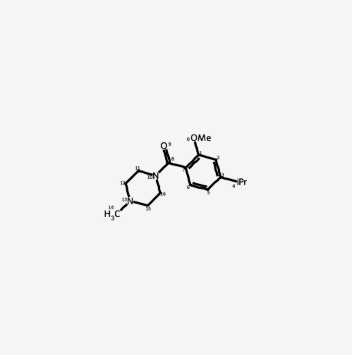 COc1cc(C(C)C)ccc1C(=O)N1CCN(C)CC1